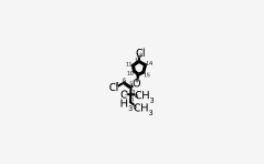 CCC(C)(C)C(=CCl)Oc1ccc(Cl)cc1